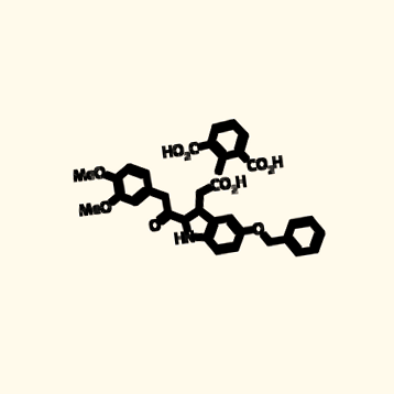 COc1ccc(CC(=O)C2Nc3ccc(OCc4ccccc4)cc3C2CC(=O)O)cc1OC.Cc1c(C(=O)O)cccc1C(=O)O